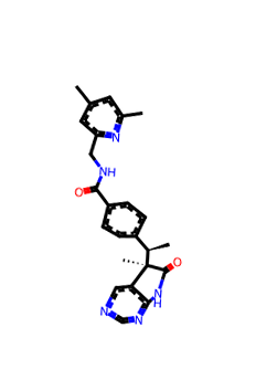 Cc1cc(C)nc(CNC(=O)c2ccc([C@@H](C)[C@@]3(C)C(=O)Nc4ncncc43)cc2)c1